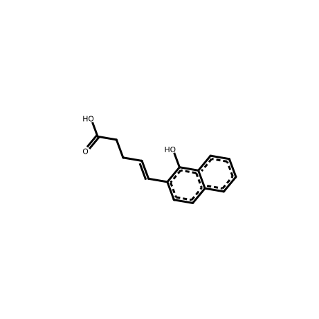 O=C(O)CCC=Cc1ccc2ccccc2c1O